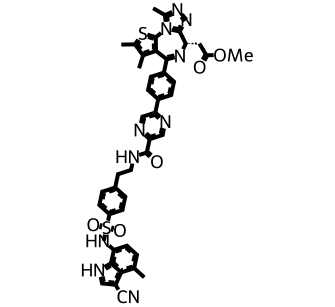 COC(=O)C[C@@H]1N=C(c2ccc(-c3cnc(C(=O)NCCc4ccc(S(=O)(=O)Nc5ccc(C)c6c(C#N)c[nH]c56)cc4)cn3)cc2)c2c(sc(C)c2C)-n2c(C)nnc21